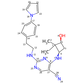 CC1(C)[C@@H](O)C[C@H]1Nc1nc(NCCc2ccc(-n3cccc3)cc2)ncc1C#N